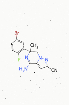 CC1(c2cc(Br)ccc2F)Cn2nc(C#N)cc2C(N)=N1